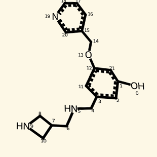 Oc1cc(CNCC2CNC2)cc(OCc2cccnc2)c1